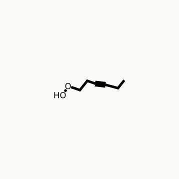 CCC#CCCOO